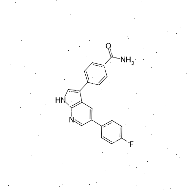 NC(=O)c1ccc(-c2c[nH]c3ncc(-c4ccc(F)cc4)cc23)cc1